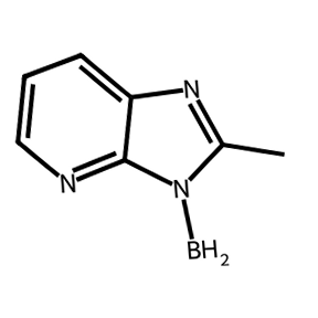 Bn1c(C)nc2cccnc21